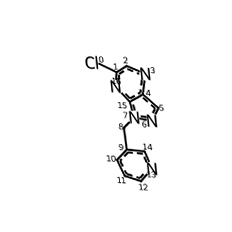 Clc1cnc2cnn(Cc3cccnc3)c2n1